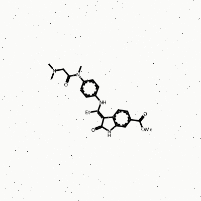 CC/C(Nc1ccc(N(C)C(=O)CN(C)C)cc1)=C1\C(=O)Nc2cc(C(=O)OC)ccc21